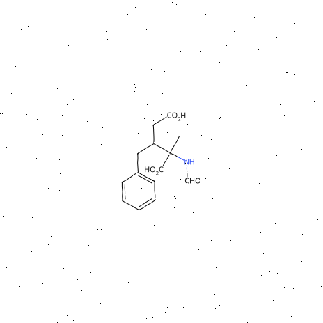 CC(NC=O)(C(=O)O)C(CC(=O)O)Cc1ccccc1